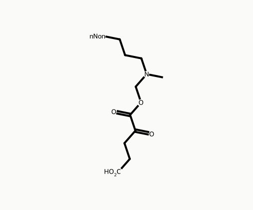 CCCCCCCCCCCCN(C)COC(=O)C(=O)CCC(=O)O